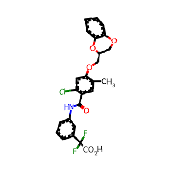 Cc1cc(C(=O)Nc2cccc(C(F)(F)C(=O)O)c2)c(Cl)cc1OC[C@@H]1COc2ccccc2O1